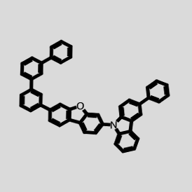 c1ccc(-c2cccc(-c3cccc(-c4ccc5c(c4)oc4cc(-n6c7ccccc7c7cc(-c8ccccc8)ccc76)ccc45)c3)c2)cc1